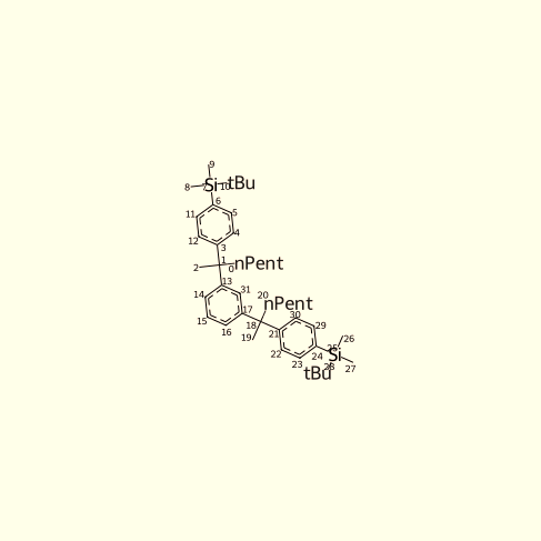 CCCCCC(C)(c1ccc([Si](C)(C)C(C)(C)C)cc1)c1cccc(C(C)(CCCCC)c2ccc([Si](C)(C)C(C)(C)C)cc2)c1